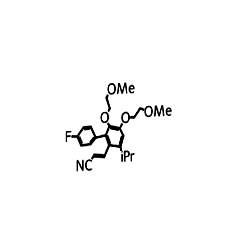 COCCOc1cc(C(C)C)c(C=CC#N)c(-c2ccc(F)cc2)c1OCCOC